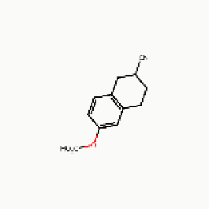 N#CC1CCc2cc(OC(=O)O)ccc2C1